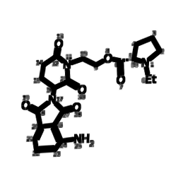 CCN1CCC[C@H]1C(=O)OCCN1C(=O)CCC(N2C(=O)c3cccc(N)c3C2=O)C1=O